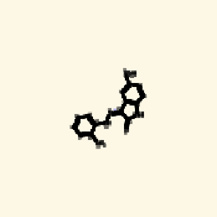 O=C1Nc2ccc(S(=O)(=O)O)cc2/C1=N/Nc1ccccc1[N+](=O)[O-]